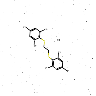 CC(C)c1cc(C(C)C)c(SCCSc2c(C(C)C)cc(C(C)C)cc2C(C)C)c(C(C)C)c1.[Pd]